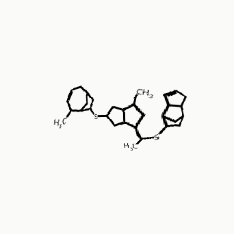 CC1C=CCC2CC(SC3CC4C(C)CC(C(C)SC5CC6CC5C5C=CCC65)C4C3)C1C2